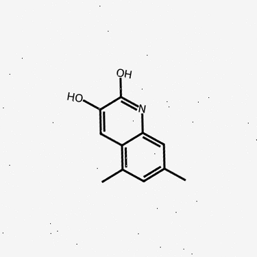 Cc1cc(C)c2cc(O)c(O)nc2c1